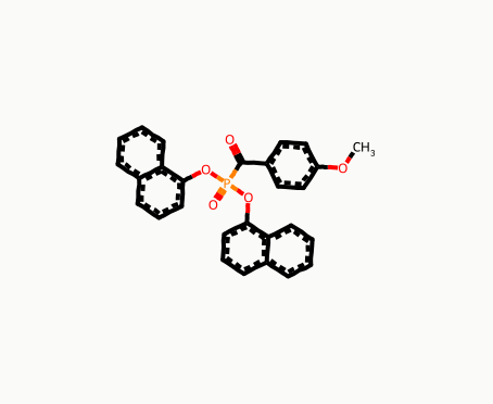 COc1ccc(C(=O)P(=O)(Oc2cccc3ccccc23)Oc2cccc3ccccc23)cc1